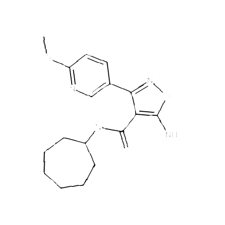 COc1ccc(-c2noc(N)c2C(=O)NC2CCCCCC2)cn1